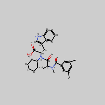 Cc1cc(C)cc(C(=O)N(C)[C@@H](C)C(=O)N(C2CCCCC2)[C@@H](Cc2c[nH]c3ccccc23)C(=O)O)c1